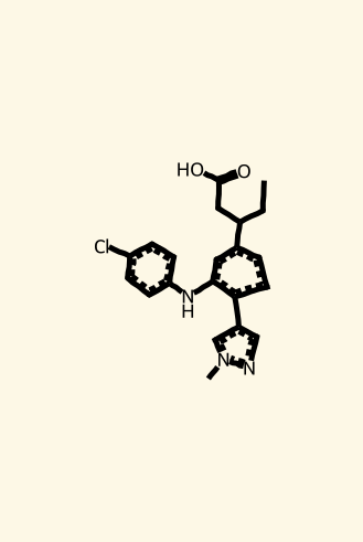 CCC(CC(=O)O)c1ccc(-c2cnn(C)c2)c(Nc2ccc(Cl)cc2)c1